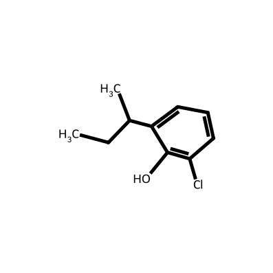 CCC(C)c1cccc(Cl)c1O